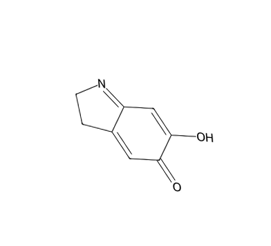 O=C1C=C2CCN=C2C=C1O